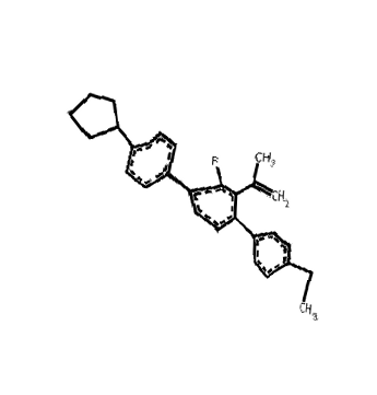 C=C(C)c1c(-c2ccc(CC)cc2)ccc(-c2ccc(C3CCCC3)cc2)c1F